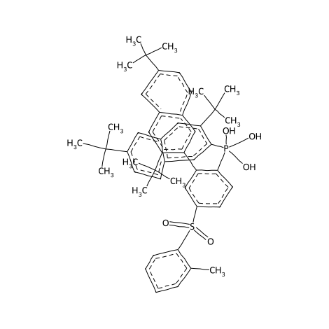 Cc1ccccc1S(=O)(=O)c1ccc(P(O)(O)(O)c2cc3ccc(C(C)(C)C)cc3cc2C(C)(C)C)c(-c2cc3ccc(C(C)(C)C)cc3cc2C(C)(C)C)c1